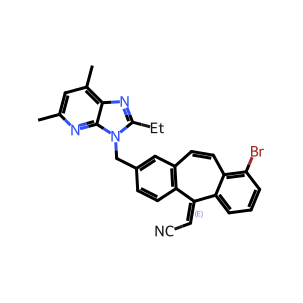 CCc1nc2c(C)cc(C)nc2n1Cc1ccc2c(c1)C=Cc1c(Br)cccc1/C2=C/C#N